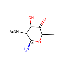 CC(=O)NC1C(O)C(=O)C(C)O[C@H]1N